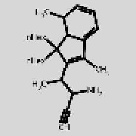 C#CC(N)C(C)C1=C(C)C2=CC=CC(C)C2C1(CCCCCC)CCCCCC